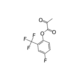 CC(=O)C(=O)Oc1ccc(F)cc1C(F)(F)F